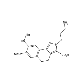 CCC(C)Nc1cc2c(cc1OC)CCc1c-2nn(CCCN)c1C(=O)O